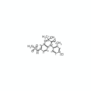 Cc1cc(Cl)cnc1N1C(=O)C(C)(C)Oc2cc(NS(C)(=O)=O)ccc21